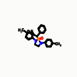 Cc1ccc(N2CCN(c3ccc(C)cc3)P2(=O)C(C[N+](=O)[O-])c2ccccc2)cc1